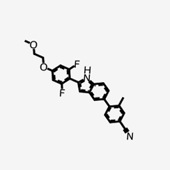 COCCOc1cc(F)c(-c2cc3cc(-c4ccc(C#N)cc4C)ccc3[nH]2)c(F)c1